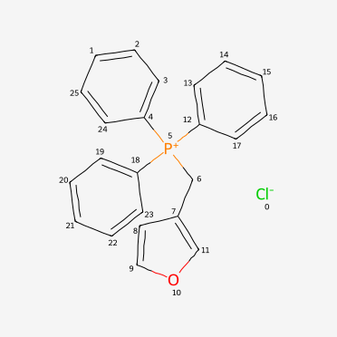 [Cl-].c1ccc([P+](Cc2ccoc2)(c2ccccc2)c2ccccc2)cc1